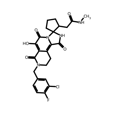 CNC(=O)CC1CCCC12NC(=O)c1c3c(c(O)c(=O)n12)C(=O)N(Cc1ccc(F)c(Cl)c1)CC3